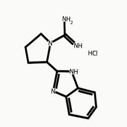 Cl.N=C(N)N1CCCC1c1nc2ccccc2[nH]1